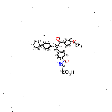 O=C(O)CCNC(=O)c1ccc(C2C(C(=O)c3ccc(OC(F)(F)F)cc3)C2c2ccc(C3CCCCC3)cc2)cc1